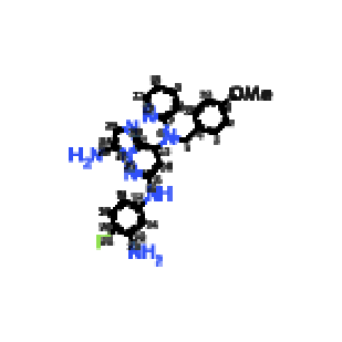 COc1ccc(CN(c2ccccn2)c2cc(Nc3ccc(F)c(N)c3)nn3c(N)cnc23)cc1